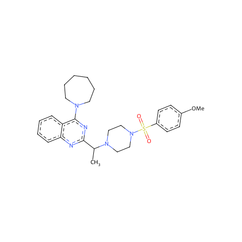 COc1ccc(S(=O)(=O)N2CCN(C(C)c3nc(N4CCCCCC4)c4ccccc4n3)CC2)cc1